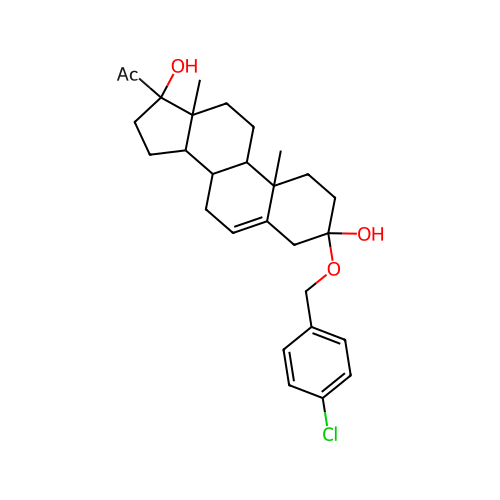 CC(=O)C1(O)CCC2C3CC=C4CC(O)(OCc5ccc(Cl)cc5)CCC4(C)C3CCC21C